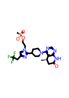 C[C@@H]1CC(=O)Nc2ncnc(N3CCC(c4nc(CC(F)(F)F)cn4CCOS(C)(=O)=O)CC3)c21